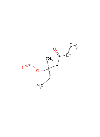 [CH2-][CH+]C(=O)CC(C)(CC)OC=O